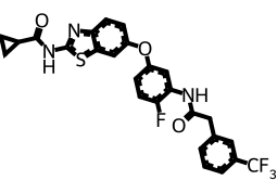 O=C(Cc1cccc(C(F)(F)F)c1)Nc1cc(Oc2ccc3nc(NC(=O)C4CC4)sc3c2)ccc1F